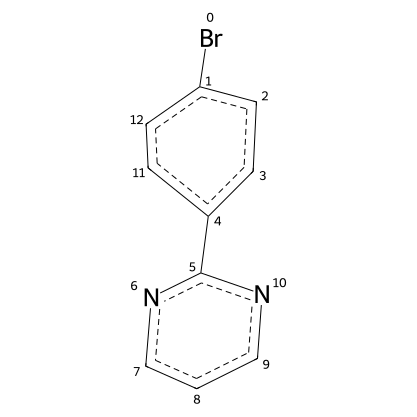 Brc1ccc(-c2ncccn2)cc1